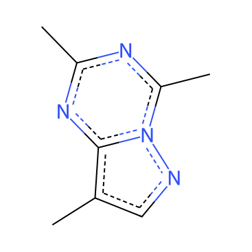 Cc1nc(C)n2ncc(C)c2n1